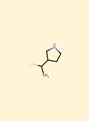 BC(C)C1CCNC1